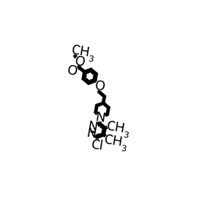 CCOC(=O)c1ccc(OCCC2CCN(c3nnc(Cl)c(C)c3C)CC2)cc1